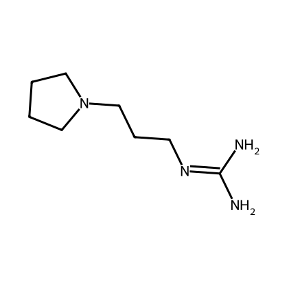 NC(N)=NCCCN1CCCC1